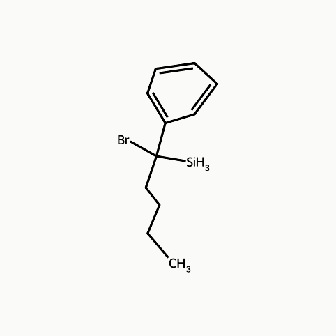 CCCCC([SiH3])(Br)c1ccccc1